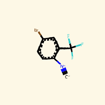 [C-]#[N+]c1ccc(Br)cc1C(F)(F)F